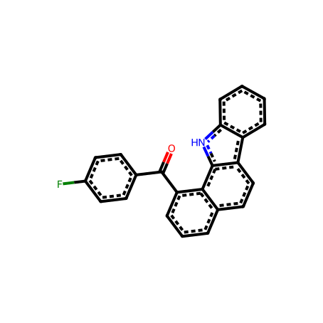 O=C(c1ccc(F)cc1)c1cccc2ccc3c4ccccc4[nH]c3c12